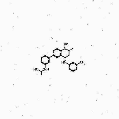 CC(=O)N1c2ccc(-c3cccc(NC(C)O)c3)cc2[C@H](Nc2cccc(C(F)(F)F)c2)C[C@@H]1C